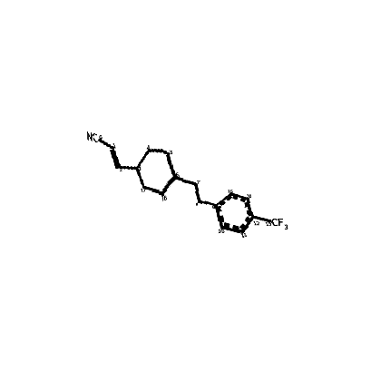 N#CC=CC1CCC(CCc2ccc(C(F)(F)F)cc2)CC1